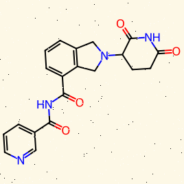 O=C1CCC(N2Cc3cccc(C(=O)NC(=O)c4cccnc4)c3C2)C(=O)N1